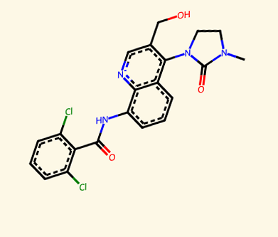 CN1CCN(c2c(CO)cnc3c(NC(=O)c4c(Cl)cccc4Cl)cccc23)C1=O